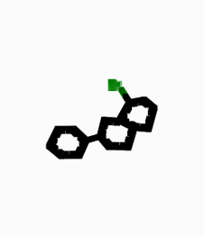 Brc1cccc2ccc(-c3ccccc3)cc12